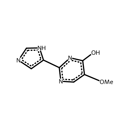 COc1cnc(-c2cnc[nH]2)nc1O